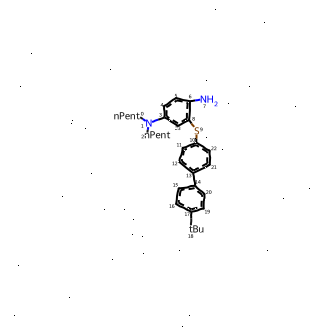 CCCCCN(CCCCC)c1ccc(N)c(Sc2ccc(-c3ccc(C(C)(C)C)cc3)cc2)c1